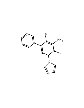 CCC1=C(N)N(C)C(n2ccnc2)N=C1c1ccccc1